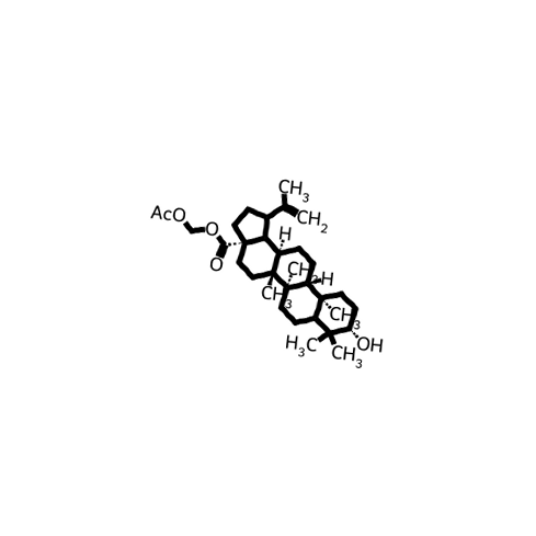 C=C(C)C1CC[C@]2(C(=O)OCOC(C)=O)CC[C@]3(C)[C@H](CC[C@@H]4[C@@]5(C)CC[C@H](O)C(C)(C)C5CC[C@]43C)C12